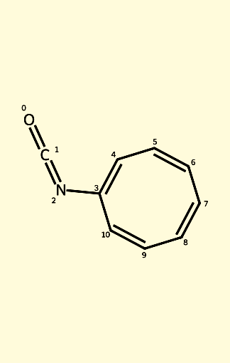 O=C=NC1=C/C=C\C=C/C=C\1